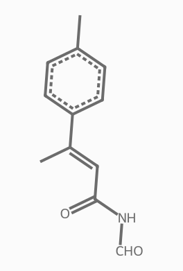 CC(=CC(=O)NC=O)c1ccc(C)cc1